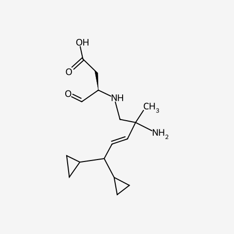 CC(N)(C=CC(C1CC1)C1CC1)CN[C@@H](C=O)CC(=O)O